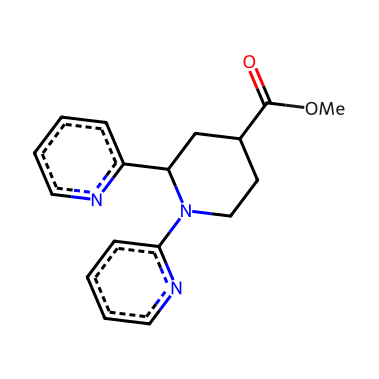 COC(=O)C1CCN(c2ccccn2)C(c2ccccn2)C1